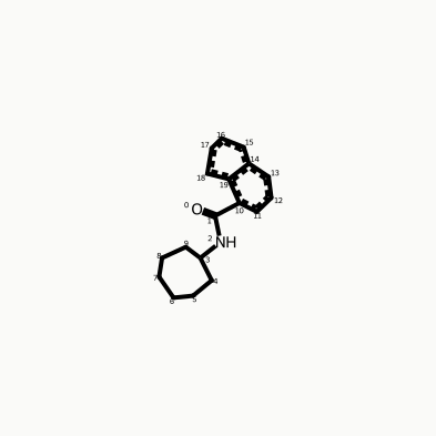 O=C(NC1CCCCCC1)c1cccc2ccccc12